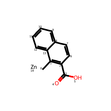 Cc1c(C(=O)O)ccc2ccccc12.[Zn]